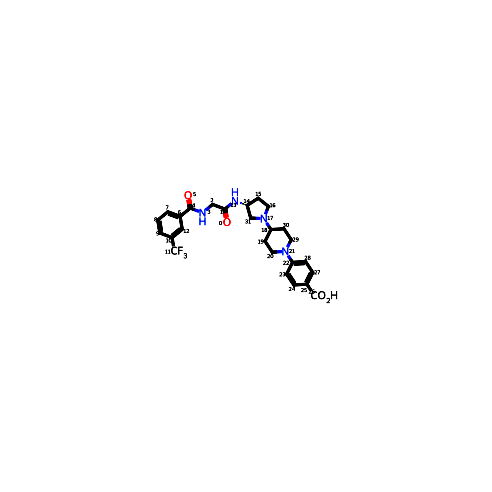 O=C(CNC(=O)c1cccc(C(F)(F)F)c1)N[C@@H]1CCN(C2CCN(c3ccc(C(=O)O)cc3)CC2)C1